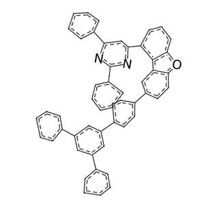 c1ccc(-c2cc(-c3ccccc3)cc(-c3ccc(-c4ccc5oc6cccc(-c7cc(-c8ccccc8)nc(-c8ccccc8)n7)c6c5c4)cc3)c2)cc1